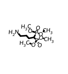 COP(=O)(OC)C(CCCN)P(=O)(OC)OC